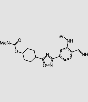 CNC(=O)OC1CCC(c2nc(-c3ccc(C=N)c(NC(C)C)c3)no2)CC1